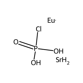 O=P(O)(O)Cl.[Eu].[SrH2]